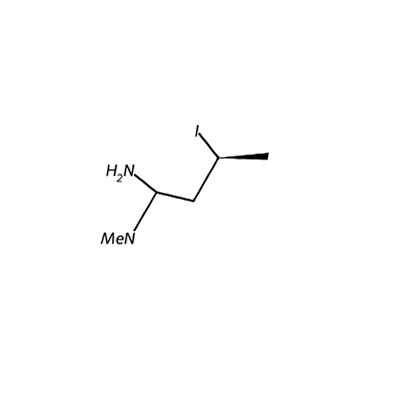 CNC(N)C[C@H](C)I